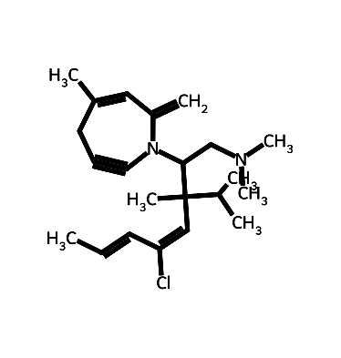 C=C1C=C(C)CC#CN1C(CN(C)C)C(C)(/C=C(Cl)\C=C\C)C(C)C